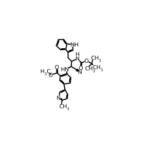 COC(=O)c1cc(-c2ccc(C)nc2)ccc1NC(C#N)C(Cc1c[nH]c2ccccc12)NC(=O)OC(C)(C)C